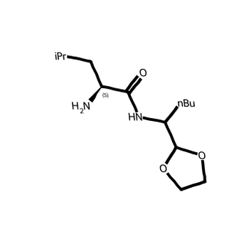 CCCCC(NC(=O)[C@@H](N)CC(C)C)C1OCCO1